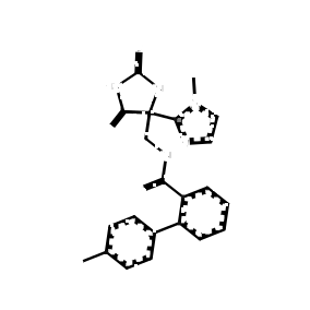 Cc1ccc(-c2ccccc2C(=O)NCC2(c3nccn3C)NC(=O)NC2=O)cc1